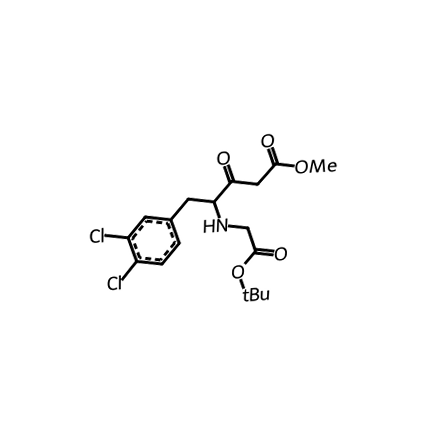 COC(=O)CC(=O)C(Cc1ccc(Cl)c(Cl)c1)NCC(=O)OC(C)(C)C